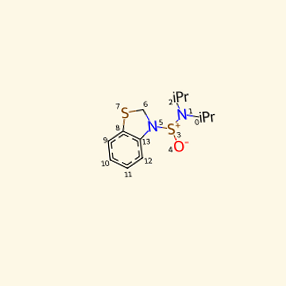 CC(C)N(C(C)C)[S+]([O-])N1CSc2ccccc21